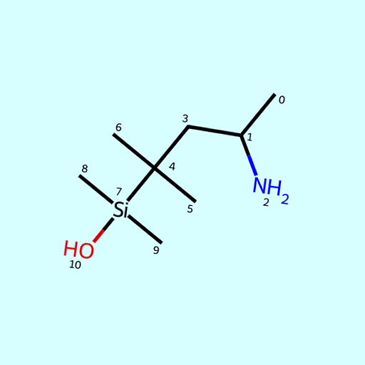 CC(N)CC(C)(C)[Si](C)(C)O